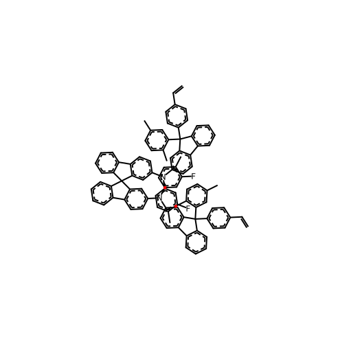 C=Cc1ccc(C2(c3cc(C)ccc3C)c3ccccc3-c3ccc(N(c4ccc(C)c(F)c4)c4ccc5c(c4)C4(c6ccccc6-5)c5ccccc5-c5ccc(N(c6ccc(C)c(F)c6)c6ccc7c(c6)C(c6ccc(C=C)cc6)(c6cc(C)ccc6C)c6ccccc6-7)cc54)cc32)cc1